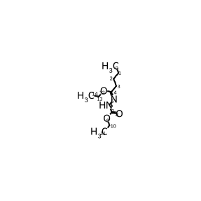 CCCCC(=NNC(=O)OCC)OCC